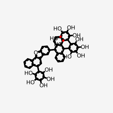 Oc1c(O)c(O)c(-c2c(O)c(O)c(O)c(O)c2-c2c3ccccc3c(-c3ccc4oc5c6ccccc6c(-c6c(O)c(O)c(O)c(O)c6O)cc5c4c3)c3ccccc23)c(O)c1O